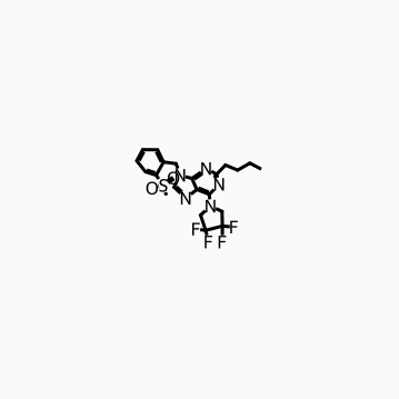 CCCCc1nc(N2CC(F)(F)C(F)(F)C2)c2ncn(Cc3ccccc3S(C)(=O)=O)c2n1